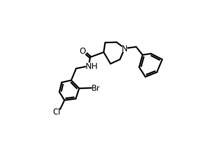 O=C(NCc1ccc(Cl)cc1Br)C1CCN(Cc2ccccc2)CC1